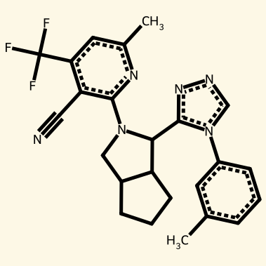 Cc1cccc(-n2cnnc2C2C3CCCC3CN2c2nc(C)cc(C(F)(F)F)c2C#N)c1